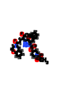 COC(=O)[C@H](CCC(=O)N1CCOc2ccccc2C1)NC(=O)[C@H](CC1CCCCC1)NC(=O)OC1CCN(S(C)(=O)=O)CC1